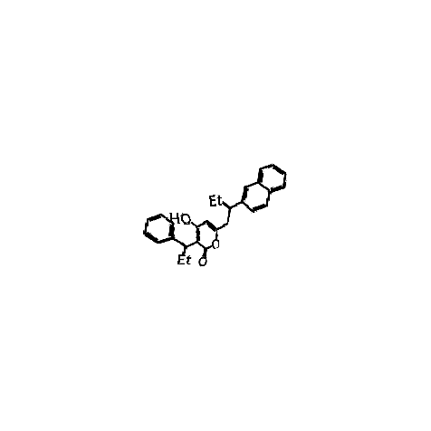 CCC(Cc1cc(O)c(C(CC)c2ccccc2)c(=O)o1)c1ccc2ccccc2c1